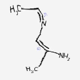 C/C=N\C=C(\C)N